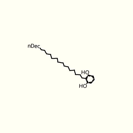 CCCCCCCCCCCCCCCCCCCCCCCCCc1c(O)cccc1O